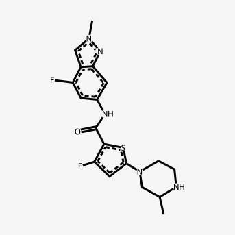 CC1CN(c2cc(F)c(C(=O)Nc3cc(F)c4cn(C)nc4c3)s2)CCN1